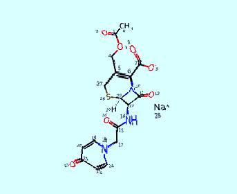 CC(=O)OCC1=C(C(=O)[O-])N2C(=O)[C@@H](NC(=O)Cn3ccc(=O)cc3)[C@H]2SC1.[Na+]